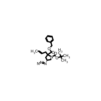 CC=CCC1(C(=O)OCc2ccccc2)C[C@@H](N=[N+]=[N-])CN1C(=O)OC(C)(C)C